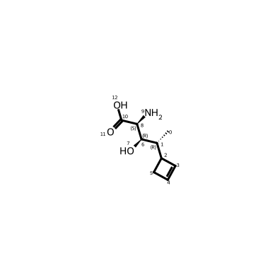 C[C@H](C1C=CC1)[C@@H](O)[C@H](N)C(=O)O